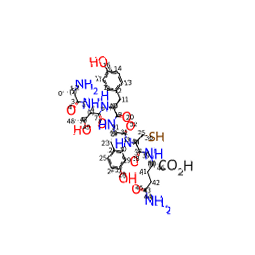 C[C@H](N)C(=O)N[C@H](C(=O)N[C@@H](Cc1ccc(O)cc1)C(=O)N[C@@H](Cc1ccc(O)cc1)C(=O)N[C@@H](CS)C(=O)N[C@@H](CCC(N)=O)C(=O)O)[C@@H](C)O